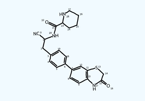 N#CC(Cc1ccc(-c2ccc3c(c2)SCC(=O)N3)cc1)NC(=O)C1CCCCN1